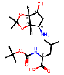 CC(C)C[C@H](NC(=O)OC(C)(C)C)C(=O)O.CC1(C)O[C@@H]2[C@H](O1)[C@@H](O)C[C@H]2N